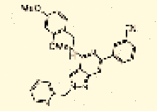 COc1ccc(CNc2nc(-c3cccc(C#N)c3)cc3nn(Cc4ccccn4)cc23)c(OC)c1